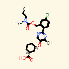 CCCN(C)C(=O)OCc1cc(Cl)ccc1-c1ncc(O[C@H]2CCC[C@H](C(=O)O)C2)c(C)n1